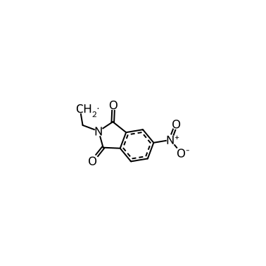 [CH2]CN1C(=O)c2ccc([N+](=O)[O-])cc2C1=O